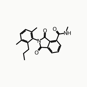 CCCc1c(C)ccc(C)c1N1C(=O)c2cccc(C(=O)NC)c2C1=O